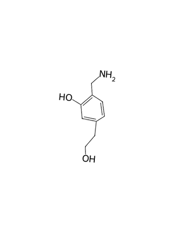 NCc1ccc(CCO)cc1O